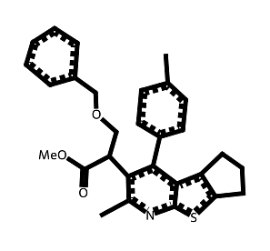 COC(=O)C(COCc1ccccc1)c1c(C)nc2sc3c(c2c1-c1ccc(C)cc1)CCC3